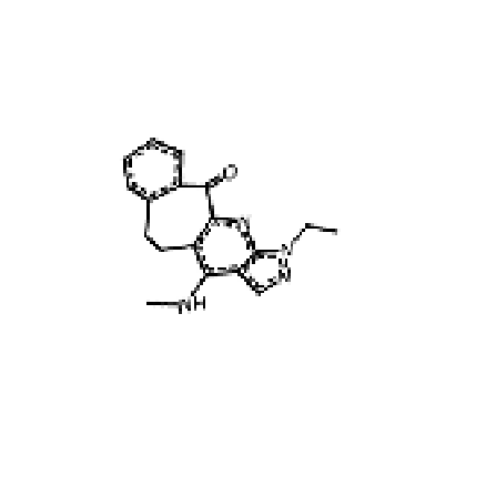 CCn1ncc2c(NC)c3c(nc21)C(=O)c1ccccc1CC3